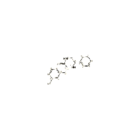 O=C1NC[C@H](c2ccccc2)N[C@@H]1Cc1cccc(F)c1